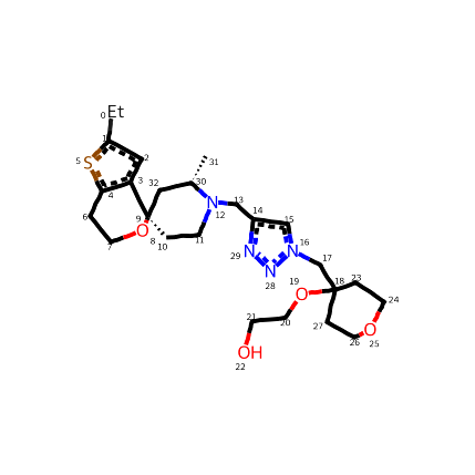 CCc1cc2c(s1)CCO[C@@]21CCN(Cc2cn(CC3(OCCO)CCOCC3)nn2)[C@@H](C)C1